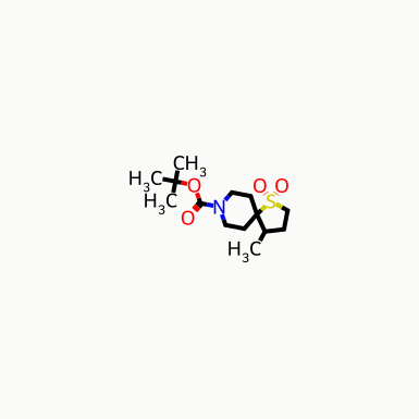 CC1CCS(=O)(=O)C12CCN(C(=O)OC(C)(C)C)CC2